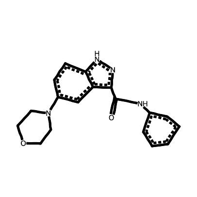 O=C(Nc1ccccc1)c1n[nH]c2ccc(N3CCOCC3)cc12